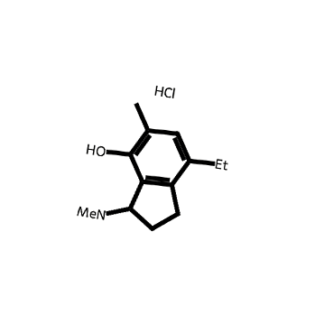 CCc1cc(C)c(O)c2c1CCC2NC.Cl